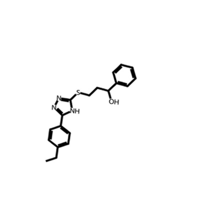 CCc1ccc(-c2nnc(SCCC(O)c3ccccc3)[nH]2)cc1